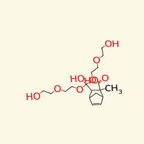 CC1(C(=O)O)C2C=CC(C2)C1C(O)(OCCOCCO)OCCOCCO